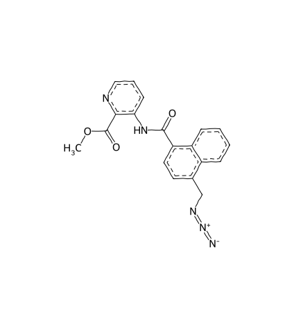 COC(=O)c1ncccc1NC(=O)c1ccc(CN=[N+]=[N-])c2ccccc12